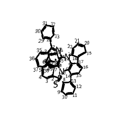 S=P1(c2ccccc2)c2ccccc2-c2ccc3c4ccccc4n(-c4nc(-c5ccccc5)c5ccccc5n4)c3c2N1c1ccccc1